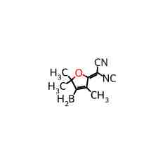 BC1=C(C)/C(=C(/C#N)[N+]#[C-])OC1(C)C